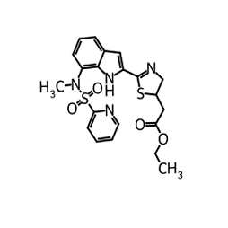 CCOC(=O)CC1CN=C(c2cc3cccc(N(C)S(=O)(=O)c4ccccn4)c3[nH]2)S1